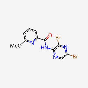 COc1cccc(C(=O)Nc2ncc(Br)nc2Br)n1